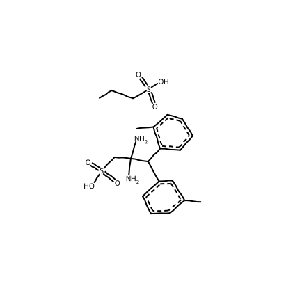 CCCS(=O)(=O)O.Cc1cccc(C(c2ccccc2C)C(N)(N)CS(=O)(=O)O)c1